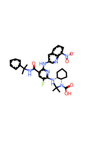 CC(C)(NC(=O)c1cc(F)c(N[C@@H]2CCCC[C@@H]2N(C(=O)O)C(C)(C)C)nc1Nc1cnc2c([N+](=O)[O-])cccc2c1)c1ccccc1